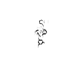 Clc1cc(Cl)cc(C[C@H](Oc2cccc(NCC3CCCN3)n2)c2ncc[nH]2)c1